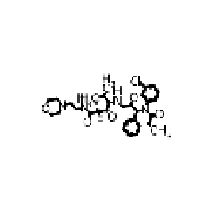 CCC(=O)N(c1cccc(Cl)c1)C(C(=O)CN[C@H](C(=O)C(F)(F)C(=O)NCCN1CCOCC1)C(C)C)c1ccccc1